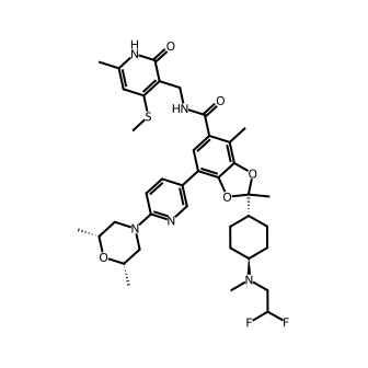 CSc1cc(C)[nH]c(=O)c1CNC(=O)c1cc(-c2ccc(N3C[C@@H](C)O[C@@H](C)C3)nc2)c2c(c1C)OC(C)([C@H]1CC[C@H](N(C)CC(F)F)CC1)O2